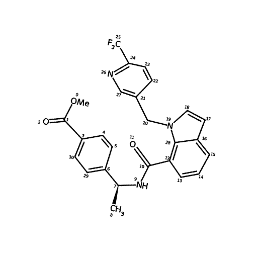 COC(=O)c1ccc([C@H](C)NC(=O)c2cccc3ccn(Cc4ccc(C(F)(F)F)nc4)c23)cc1